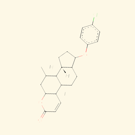 CC1CC2OC(=O)C=C[C@]2(C)[C@@H]2CC[C@]3(C)C(Oc4ccc(Cl)cc4)CC[C@H]3[C@H]12